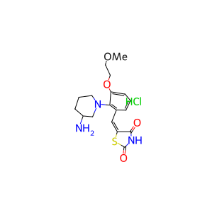 COCCOc1cccc(/C=C2/SC(=O)NC2=O)c1N1CCCC(N)C1.Cl